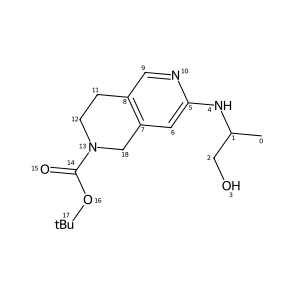 CC(CO)Nc1cc2c(cn1)CCN(C(=O)OC(C)(C)C)C2